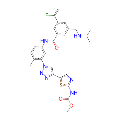 C=C(F)c1cc(CNC(C)C)cc(C(=O)Nc2ccc(C)c(-n3cc(-c4cnc(NC(=O)OC)s4)nn3)c2)c1